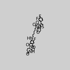 O=C(COc1c(-c2csc(N3CCOCC3)n2)ccc(F)c1F)NCCCCCCNc1cc2c(cc1F)C(=O)N(C1CCC(=O)NC1=O)C2=O